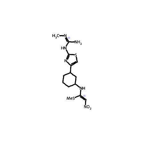 C/N=C(/N)Nc1nc(C2CCCC(N/C(=C/[N+](=O)[O-])SC)C2)cs1